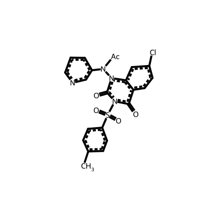 CC(=O)N(c1cccnc1)n1c(=O)n(S(=O)(=O)c2ccc(C)cc2)c(=O)c2ccc(Cl)cc21